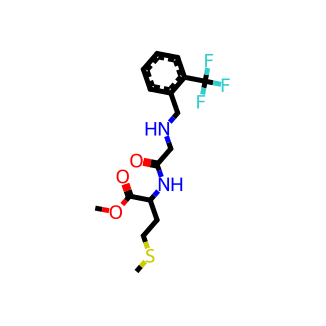 COC(=O)C(CCSC)NC(=O)CNCc1ccccc1C(F)(F)F